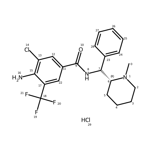 CN1CCCC[C@@H]1C(NC(=O)c1cc(Cl)c(N)c(C(F)(F)F)c1)c1ccccc1.Cl